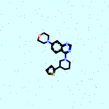 c1csc(C2CCCN(c3ncnc4cc(N5CCOCC5)ccc34)C2)c1